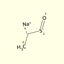 CC[S-]=O.[Na+]